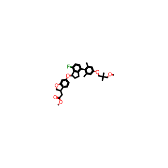 COCC(C)(C)COc1cc(C)c(-c2ccc(F)c3c2CC[C@H]3Oc2ccc3c(c2)OCC3CC(=O)OC)c(C)c1